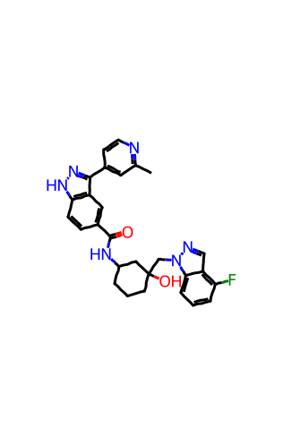 Cc1cc(-c2n[nH]c3ccc(C(=O)NC4CCCC(O)(Cn5ncc6c(F)cccc65)C4)cc23)ccn1